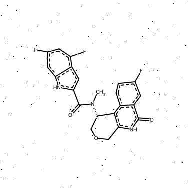 CN(C(=O)c1cc2c(F)cc(F)cc2[nH]1)[C@H]1COCc2[nH]c(=O)c3cc(F)ccc3c21